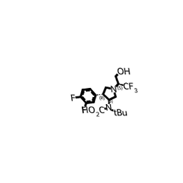 CC(C)(C)N(C(=O)O)[C@@H]1CN([C@@H](CO)C(F)(F)F)C[C@H]1c1ccc(F)c(F)c1